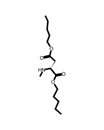 CCCCCOC(=O)C[C@@H](NC)C(=O)OCCCCC